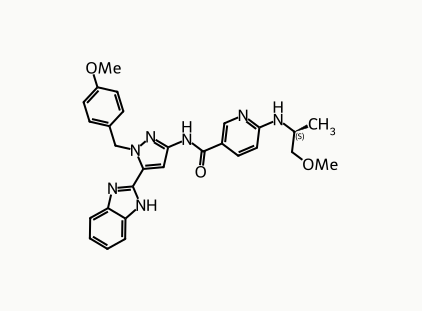 COC[C@H](C)Nc1ccc(C(=O)Nc2cc(-c3nc4ccccc4[nH]3)n(Cc3ccc(OC)cc3)n2)cn1